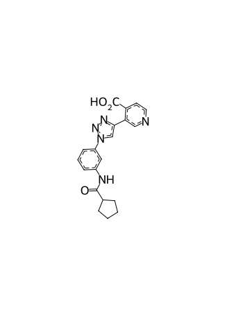 O=C(O)c1ccncc1-c1cn(-c2cccc(NC(=O)C3CCCC3)c2)nn1